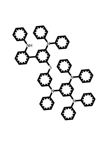 c1ccc(Nc2ccccc2-c2cc(Sc3cccc(N(c4ccccc4)c4cc(N(c5ccccc5)c5ccccc5)cc(N(c5ccccc5)c5ccccc5)c4)c3)cc(N(c3ccccc3)c3ccccc3)c2)cc1